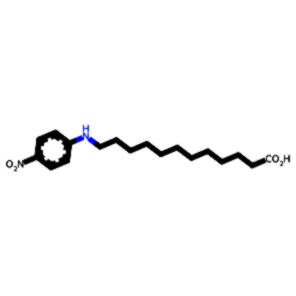 O=C(O)CCCCCCCCCCCNc1ccc([N+](=O)[O-])cc1